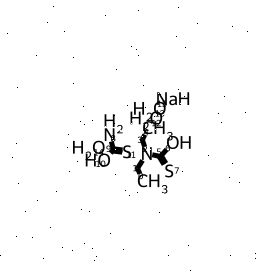 CCN(CC)C(O)=S.NC(O)=S.O.O.O.[NaH]